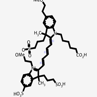 COCCc1ccc2c(c1)C(C)(CCCS(=O)(=O)[O-])\C(=C/C=C/C=C/C1=[N+](CCOC)c3ccc(S(=O)(=O)O)cc3C1(C)CCCS(=O)(=O)O)N2CCCCCC(=O)O